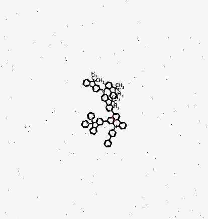 CC1(C)c2ccccc2-c2ccc(N(c3ccc4c(c3)C(C)(C)c3cc(-c5ccc(-c6ccccc6N(c6ccc(-c7ccccc7)cc6)c6cccc(-c7ccc8c(c7)-c7ccccc7C8(c7ccccc7)c7ccccc7)c6)cc5)ccc3-4)c3cccc4c3-c3ccccc3C4(C)C)cc21